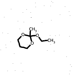 CCOC1(C)OCCCO1